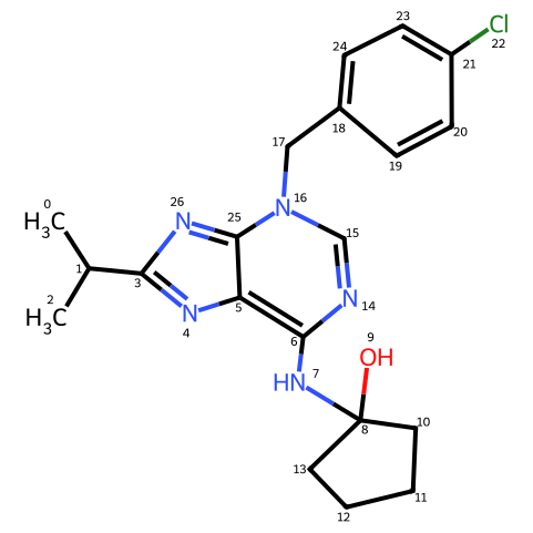 CC(C)c1nc2c(NC3(O)CCCC3)ncn(Cc3ccc(Cl)cc3)c-2n1